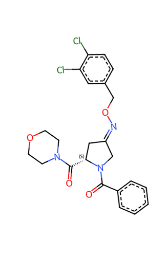 O=C([C@@H]1CC(=NOCc2ccc(Cl)c(Cl)c2)CN1C(=O)c1ccccc1)N1CCOCC1